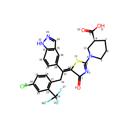 O=C1N=C(N2CCC[C@H](C(=O)O)C2)SC1=C(Cc1ccc(Cl)cc1C(F)(F)F)c1ccc2[nH]ncc2c1